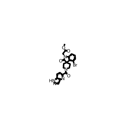 COC(=O)CN1C(=O)C2(CCN(C(=O)c3ccc4[nH]ncc4n3)CC2)c2c(Br)cccc21